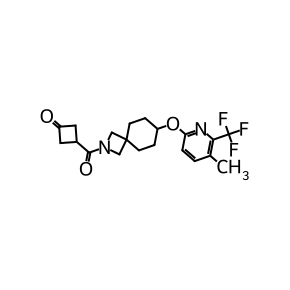 Cc1ccc(OC2CCC3(CC2)CN(C(=O)C2CC(=O)C2)C3)nc1C(F)(F)F